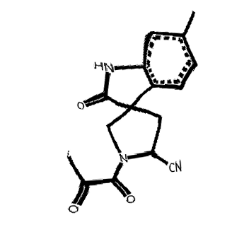 Cc1ccc2c(c1)NC(=O)C21CC(C#N)N(C(=O)C(=O)I)C1